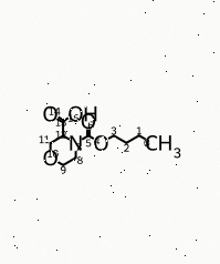 CCCCOC(=O)N1CCOCC1C(=O)O